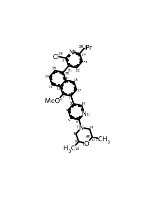 COc1c(-c2ccc(N3CC(C)O[C@H](C)C3)nc2)ccc2c(-c3ccc(C(C)C)nc3Cl)cccc12